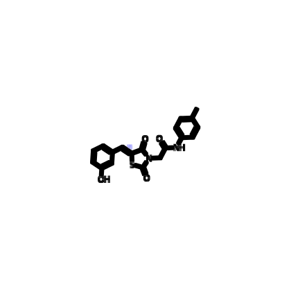 Cc1ccc(NC(=O)CN2C(=O)S/C(=C\c3cccc(O)c3)C2=O)cc1